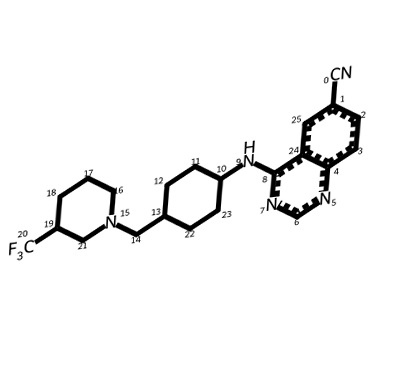 N#Cc1ccc2ncnc(NC3CCC(CN4CCCC(C(F)(F)F)C4)CC3)c2c1